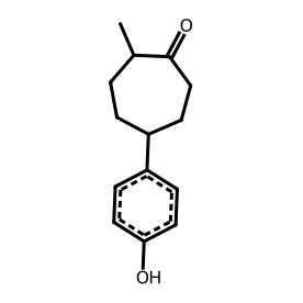 CC1CCC(c2ccc(O)cc2)CCC1=O